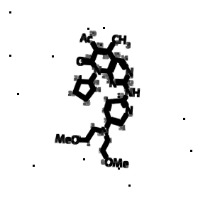 COCCN(CCOC)c1ccc(Nc2ncc3c(C)c(C(C)=O)c(=O)n(C4CCCC4)c3n2)nc1